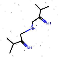 CC(C)C(=N)CNCC(=N)C(C)C